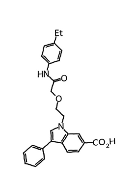 CCc1ccc(NC(=O)COCCn2cc(-c3ccccc3)c3ccc(C(=O)O)cc32)cc1